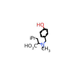 CC(C)CC(C(=O)O)N(C)Cc1ccc(O)cc1